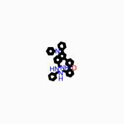 C1=CC(C2NC(c3ccccc3)NC(c3cccc4oc5ccc(-c6ccc7c(c6)c6c(n7-c7ccccc7)CCC=C6)cc5c34)N2)=CCC1